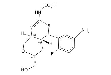 Nc1ccc(F)c(C2SC(NC(=O)O)=N[C@@H]3CO[C@@H](CO)C[C@@H]23)c1